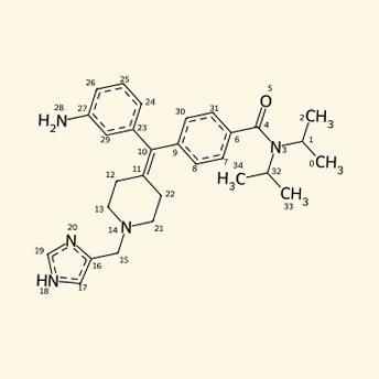 CC(C)N(C(=O)c1ccc(C(=C2CCN(Cc3c[nH]cn3)CC2)c2cccc(N)c2)cc1)C(C)C